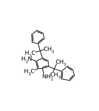 Cc1c(N)c(C(C)(C)c2ccccc2)cc(C(C)(C)c2ccccc2)c1N